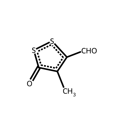 Cc1c(C=O)ssc1=O